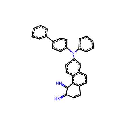 N=C1C=Cc2ccc3cc(N(c4ccccc4)c4ccc(-c5ccccc5)cc4)ccc3c2C1=N